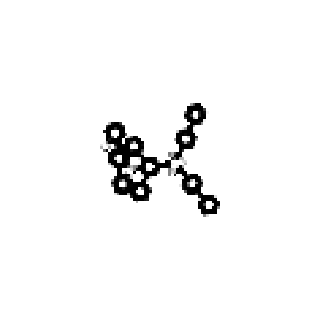 c1ccc(-c2ccc(-c3nc(-c4ccc(-c5ccccc5)cc4)nc(-c4cc(-c5ccccc5)c(-n5c6ccccc6c6cc7oc8ccccc8c7cc65)c(-c5ccccc5)c4)n3)cc2)cc1